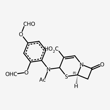 CC(=O)N(c1ccc(OC=O)cc1OC=O)C1S[C@@H]2CC(=O)N2C=C1C(=O)O